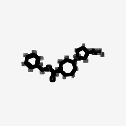 NC1CCN([C@H]2CCCN(C(=O)OCc3ccccc3)CC2)C1